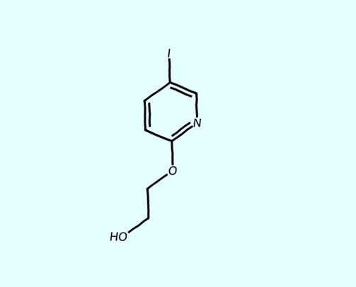 OCCOc1ccc(I)cn1